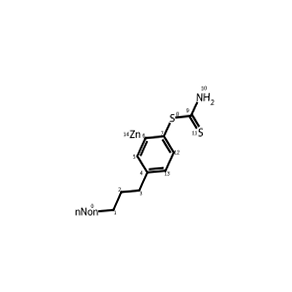 CCCCCCCCCCCCc1ccc(SC(N)=S)cc1.[Zn]